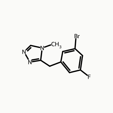 Cn1cnnc1Cc1cc(F)cc(Br)c1